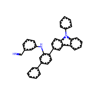 N=Cc1cccc(Nc2cc(-c3ccccc3)ccc2-c2ccc3c(c2)c2ccccc2n3-c2ccccc2)c1